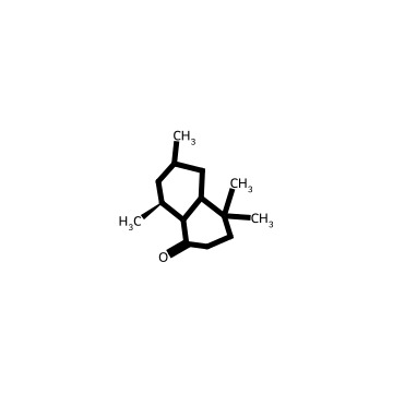 CC1CC2C(C(=O)CCC2(C)C)[C@@H](C)C1